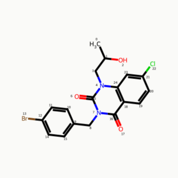 CC(O)Cn1c(=O)n(Cc2ccc(Br)cc2)c(=O)c2ccc(Cl)cc21